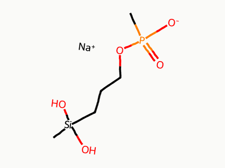 C[Si](O)(O)CCCOP(C)(=O)[O-].[Na+]